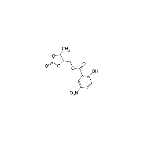 CC1OC(=O)OC1COC(=O)c1cc([N+](=O)[O-])ccc1O